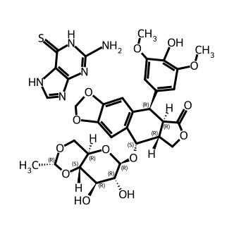 COc1cc([C@@H]2c3cc4c(cc3[C@@H](O[C@@H]3O[C@@H]5CO[C@@H](C)O[C@H]5[C@H](O)[C@H]3O)[C@H]3COC(=O)[C@H]23)OCO4)cc(OC)c1O.Nc1nc2nc[nH]c2c(=S)[nH]1